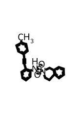 Cc1ccc(C#Cc2ccccc2NS(=O)(=O)N2CCc3ccccc3C2)cc1